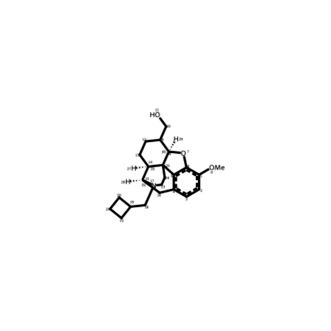 COc1ccc2c3c1O[C@@H]1C(CO)CC[C@@H]4[C@H](C2)N(CC2CCC2)CCC314